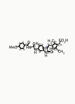 COc1ccc(C(=O)NC(=O)Nc2cc3c(cc2F)/C(=C/c2[nH]c(C)c(CC(=O)O)c2C)C(=O)N3)cc1